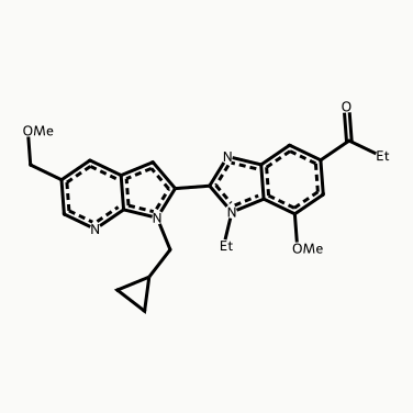 CCC(=O)c1cc(OC)c2c(c1)nc(-c1cc3cc(COC)cnc3n1CC1CC1)n2CC